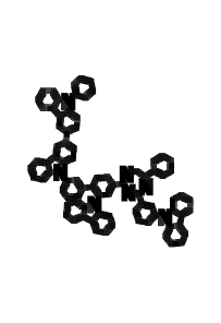 c1ccc(C2=NC(c3cccc(-n4c5ccccc5c5ccccc54)c3)=NC(c3ccc(-c4cccc(-n5c6ccccc6c6cc(-c7ccc8c(c7)c7ccccc7n8-c7ccccc7)ccc65)c4)c(-n4c5ccccc5c5ccccc54)c3)=NC2)cc1